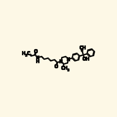 C#CC(O)(c1ccccc1)c1ccc(N2CCN(C(=O)CCCCCNC(=O)C=C)C(C)C2)cc1